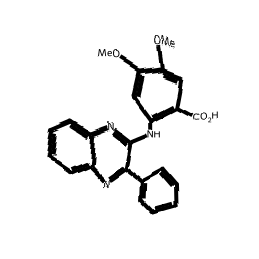 COc1cc(Nc2nc3ccccc3nc2-c2ccccc2)c(C(=O)O)cc1OC